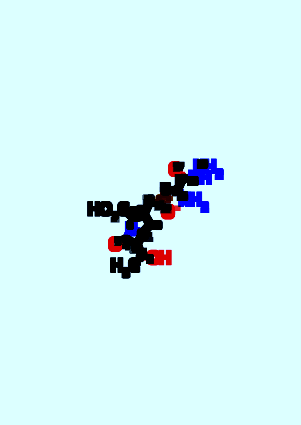 CC(O)C1C(=O)N2C(C(=O)O)=C(C[S+]([O-])CC(N)C(=O)NN)CC12